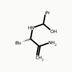 C=C(N)C(NC(O)C(C)C)[C@@H](C)CC